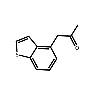 CC(=O)Cc1cccc2sc[c]c12